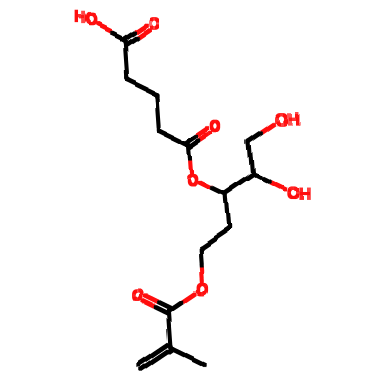 C=C(C)C(=O)OCCC(OC(=O)CCCC(=O)O)C(O)CO